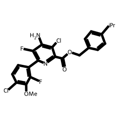 COc1c(Cl)ccc(-c2nc(C(=O)OCc3ccc(C(C)C)cc3)c(Cl)c(N)c2F)c1F